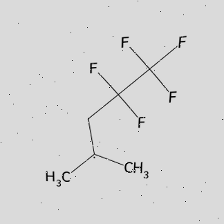 C[C](C)CC(F)(F)C(F)(F)F